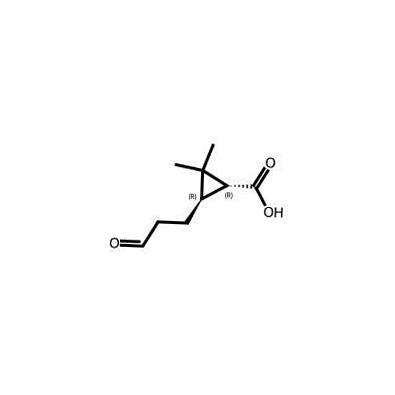 CC1(C)[C@H](CCC=O)[C@H]1C(=O)O